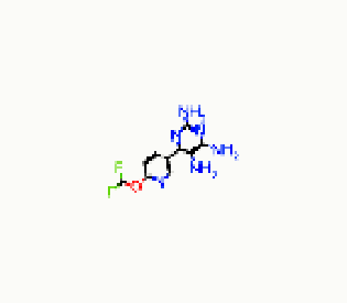 Nc1nc(N)c(N)c(-c2ccc(OC(F)F)nc2)n1